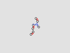 c1ccc(C2NC(c3ccc4oc5ccccc5c4c3)NC(c3cccc4c3oc3cc(-c5ccc6oc7ccccc7c6c5)ccc34)N2)cc1